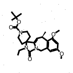 CCN1C(=O)N2Cc3cc(OC)cc(OC)c3[C@H](C)C=C2C12CCN(C(=O)OC(C)(C)C)CC2